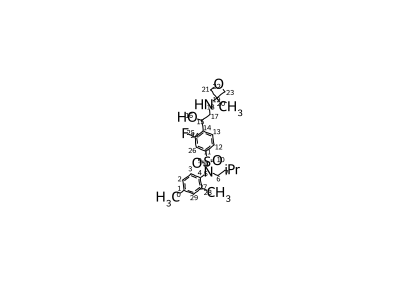 Cc1ccc(N(CC(C)C)S(=O)(=O)c2ccc(C(O)CNC3(C)COC3)c(F)c2)c(C)c1